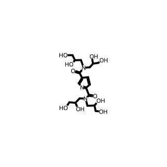 O=C(c1ccc(C(=O)N(CC(O)CO)CC(O)CO)nc1)N(CC(O)CO)CC(O)CO